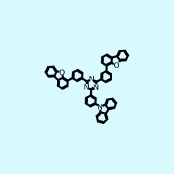 c1cc(-c2nc(-c3cccc(-c4cccc5c4oc4ccccc45)c3)nc(-c3cccc(-n4c5ccccc5c5ccccc54)c3)n2)cc(-c2cccc3c2oc2ccccc23)c1